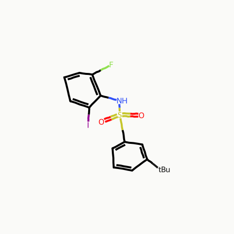 CC(C)(C)c1cccc(S(=O)(=O)Nc2c(F)cccc2I)c1